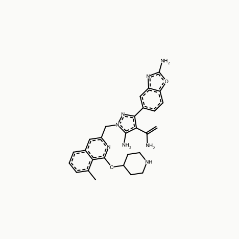 C=C(N)c1c(-c2ccc3oc(N)nc3c2)nn(Cc2cc3cccc(C)c3c(OC3CCNCC3)n2)c1N